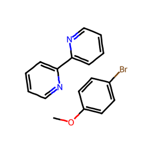 COc1ccc(Br)cc1.c1ccc(-c2ccccn2)nc1